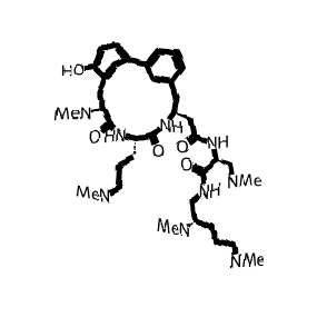 CNCCC[C@@H](CNC(=O)[C@H](CNC)NC(=O)C[C@@H]1Cc2cccc(c2)-c2ccc(O)c(c2)C[C@H](NC)C(=O)N[C@@H](CCCNC)C(=O)N1)NC